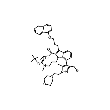 CCOC(=O)c1c(CCCOc2cccc3ccccc23)c2cccc(-c3c(CBr)nn(CCN4CCOCC4)c3C)c2n1CCCN(C)C(=O)OC(C)(C)C